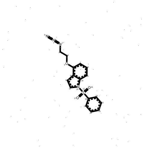 [N-]=[N+]=NCCOc1cccc2c1ccn2S(=O)(=O)c1ccccc1